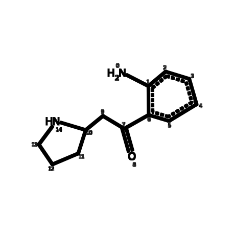 Nc1ccccc1C(=O)CC1CCCN1